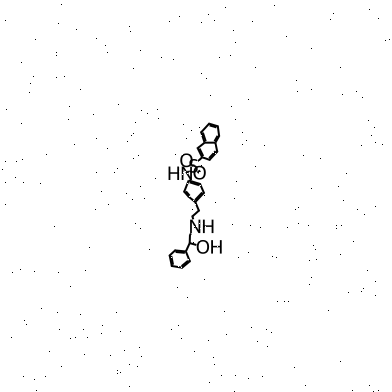 O=S(=O)(Nc1ccc(CCNCC(O)c2ccccc2)cc1)c1ccc2ccccc2c1